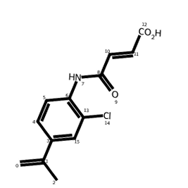 C=C(C)c1ccc(NC(=O)C=CC(=O)O)c(Cl)c1